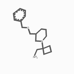 NCC1(N2CCCC(COCc3ccccc3)C2)CCC1